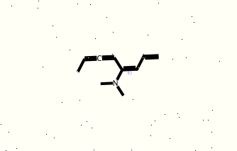 C=C/C=C(\C=C=CC)N(C)C